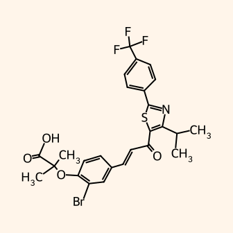 CC(C)c1nc(-c2ccc(C(F)(F)F)cc2)sc1C(=O)C=Cc1ccc(OC(C)(C)C(=O)O)c(Br)c1